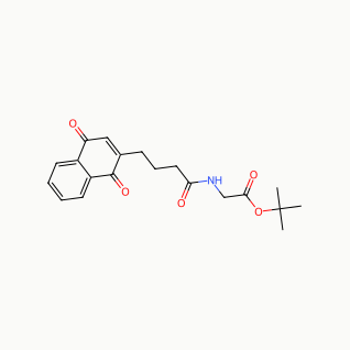 CC(C)(C)OC(=O)CNC(=O)CCCC1=CC(=O)c2ccccc2C1=O